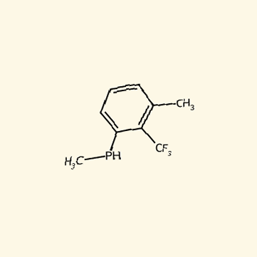 CPc1cccc(C)c1C(F)(F)F